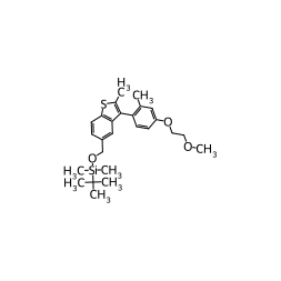 COCCOc1ccc(-c2c(C)sc3ccc(CO[Si](C)(C)C(C)(C)C)cc23)c(C)c1